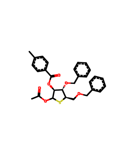 CC(=O)OC1S[C@H](COCc2ccccc2)[C@@H](OCc2ccccc2)[C@@H]1OC(=O)c1ccc(C)cc1